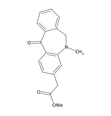 COC(=O)Cc1ccc2c(c1)N(C)Cc1ccccc1C2=O